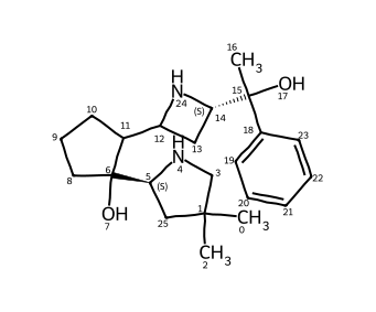 CC1(C)CN[C@H](C2(O)CCCC2C2C[C@@H](C(C)(O)c3ccccc3)N2)C1